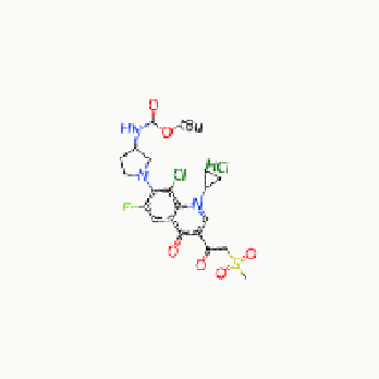 CC(C)(C)OC(=O)NC1CCN(c2c(F)cc3c(=O)c(C(=O)CS(C)(=O)=O)cn(C4CC4)c3c2Cl)C1.Cl